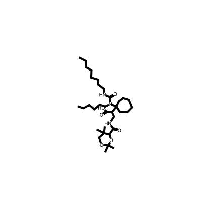 CCCCCCCCNC(=O)N(CCCCCC)C1(C(CNC(=O)C2OC(C)(C)OCC2(C)C)C(=O)O)CCCCCC1